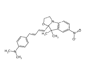 CN(C)c1ccc(/C=C/C=C/C23OCCN2c2ccc([N+](=O)[O-])cc2C3(C)C)cc1